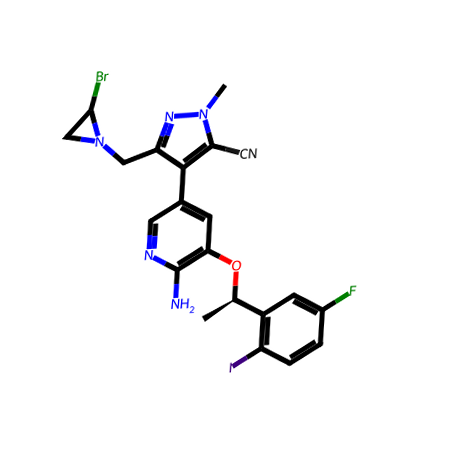 C[C@@H](Oc1cc(-c2c(CN3CC3Br)nn(C)c2C#N)cnc1N)c1cc(F)ccc1I